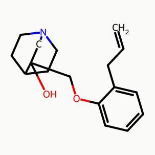 C=CCc1ccccc1OCC1(O)CN2CCC1CC2